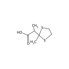 CC(C(=O)O)C1(C)SCCS1